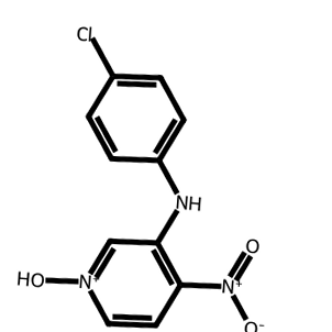 O=[N+]([O-])c1cc[n+](O)cc1Nc1ccc(Cl)cc1